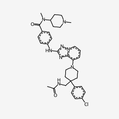 CC(=O)NCC1(c2ccc(Cl)cc2)CCN(c2cccn3nc(Nc4ccc(C(=O)N(C)C5CCN(C)CC5)cc4)nc23)CC1